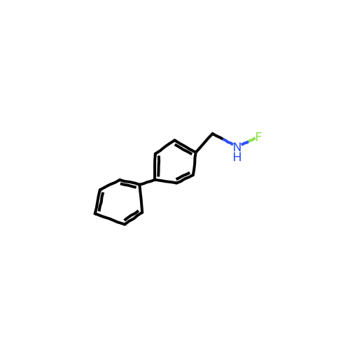 FNCc1ccc(-c2ccccc2)cc1